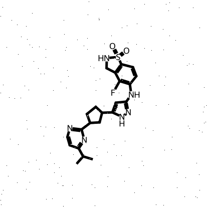 CC(C)c1ccnc(C2CCC(c3cc(Nc4ccc5c(c4F)CNS5(=O)=O)n[nH]3)C2)n1